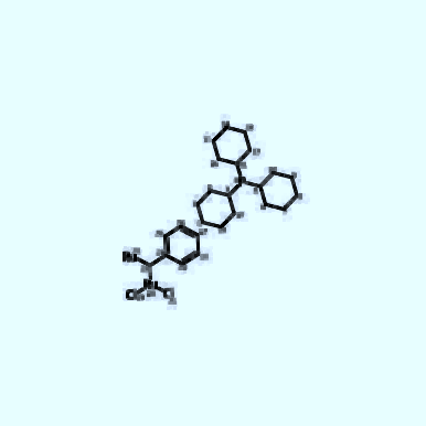 C1CCC(P(C2CCCCC2)C2CCCCC2)CC1.[Cl][Ru]([Cl])[CH]([Ru])c1ccccc1